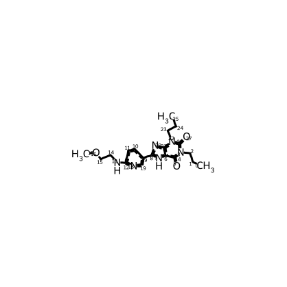 CCCn1c(=O)c2[nH]c(-c3ccc(NCCOC)nc3)nc2n(CCC)c1=O